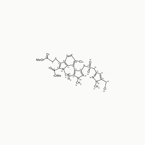 COC(=O)CCc1c(C(=O)OC)n(C)c2c(-c3c(CS(=O)(=O)Cc4cc(CCl)n(C)n4)nn(C)c3C)c(Cl)ccc12